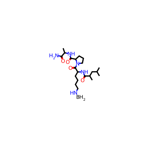 BNCCCCC(NC(=O)C(C)CC(C)C)C(=O)N1CCCC1C(=O)NC(C)C(N)=O